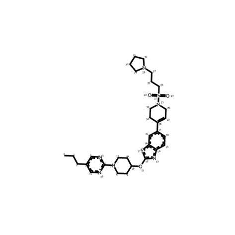 CCCc1cnc(N2CCC(Oc3nc4ccc(C5=CCN(S(=O)(=O)CCCN6CCCC6)CC5)cc4s3)CC2)nc1